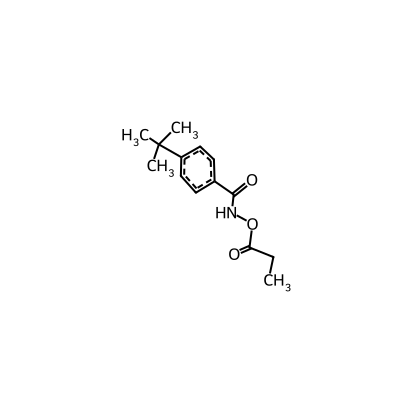 CCC(=O)ONC(=O)c1ccc(C(C)(C)C)cc1